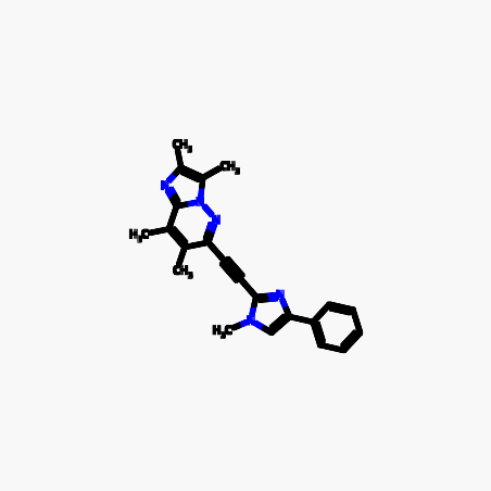 Cc1nc2c(C)c(C)c(C#Cc3nc(-c4ccccc4)cn3C)nn2c1C